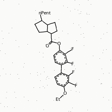 CCCCCC1CCC2C(C(=O)Oc3ccc(-c4ccc(OCC)c(F)c4F)c(F)c3F)CCC12